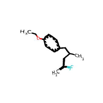 C=C(F)CC(C)Cc1ccc(OCC)cc1